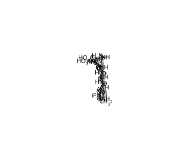 CC(C)[C@H](NC(=O)[C@H](C)N)C(=O)N1CCC[C@H]1C(=O)NCC(=O)NCC(=O)NCC(=O)NCC(=O)N[C@@H](CCCNC(=N)N)C(=O)NCC(=O)N[C@@H](CC(=O)O)C(=O)O